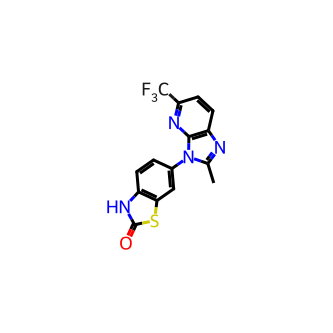 Cc1nc2ccc(C(F)(F)F)nc2n1-c1ccc2[nH]c(=O)sc2c1